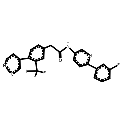 O=C(Cc1ccc(-c2ccnnc2)c(C(F)(F)I)c1)Nc1ccc(-c2cccc(F)c2)nc1